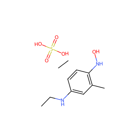 CC.CCNc1ccc(NO)c(C)c1.O=S(=O)(O)O